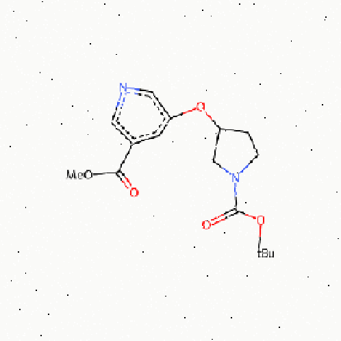 COC(=O)c1cncc(OC2CCN(C(=O)OC(C)(C)C)C2)c1